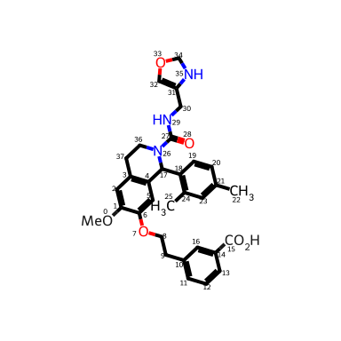 COc1cc2c(cc1OCCc1cccc(C(=O)O)c1)C(c1ccc(C)cc1C)N(C(=O)NCC1=COCN1)CC2